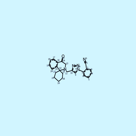 N#Cc1ccccc1-n1cc(CN2CC(=O)c3ccccc3C23CCCCC3)nn1